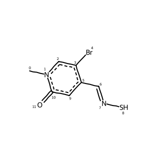 Cn1cc(Br)c(/C=N/S)cc1=O